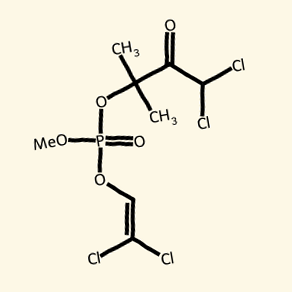 COP(=O)(OC=C(Cl)Cl)OC(C)(C)C(=O)C(Cl)Cl